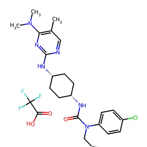 CCN(C(=O)N[C@H]1CC[C@@H](Nc2ncc(C)c(N(C)C)n2)CC1)c1ccc(Cl)cc1.O=C(O)C(F)(F)F